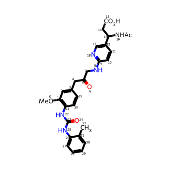 COc1cc(CC(=O)CNc2ccc(C(CC(=O)O)NC(C)=O)cn2)ccc1NC(=O)Nc1ccccc1C